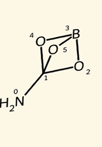 NC12OB(O1)O2